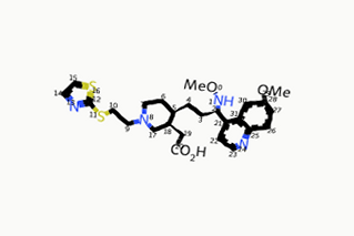 CON[C@H](CC[C@@H]1CCN(CCSc2nccs2)C[C@@H]1CC(=O)O)c1ccnc2ccc(OC)cc12